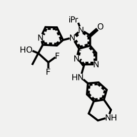 CC(C)n1c(=O)c2cnc(Nc3ccc4c(c3)CCNC4)nc2n1-c1ccnc(C(C)(O)C(F)F)c1